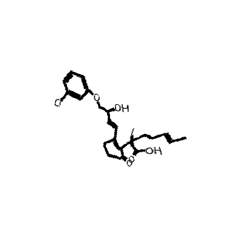 CC=CCCC(I)(C(=O)O)C1=C(C=CC(O)COc2cccc(Cl)c2)CCC1=O